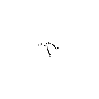 CCCO.CCC[O][Zr]